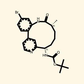 C[C@@H]1CCC[C@H](NC(=O)OC(C)(C)C)c2cc(ccn2)-c2ccc(Br)cc2NC1=O